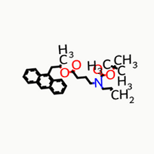 C=CCN(CCCC(=O)OC(C)Cc1c2ccccc2cc2ccccc12)C(=O)OC(C)(C)C